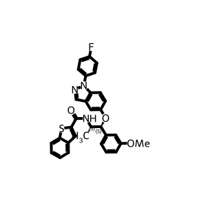 COc1cccc([C@H](Oc2ccc3c(cnn3-c3ccc(F)cc3)c2)[C@H](C)NC(=O)c2cc3ccccc3s2)c1